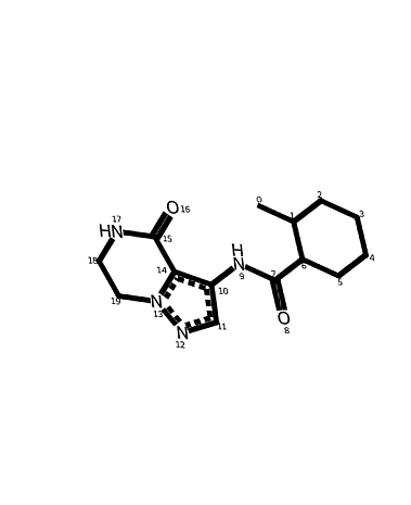 CC1CCCCC1C(=O)Nc1cnn2c1C(=O)NCC2